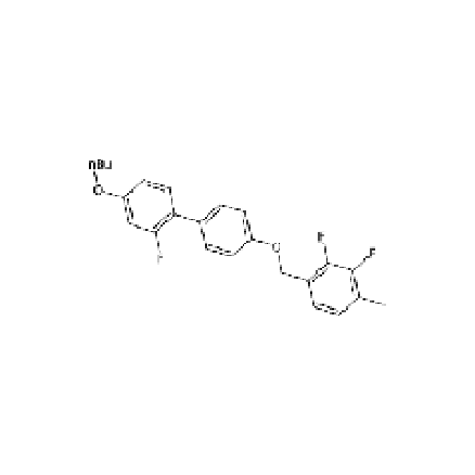 CCCCOc1ccc(-c2ccc(OCc3ccc(C)c(F)c3F)cc2)c(F)c1